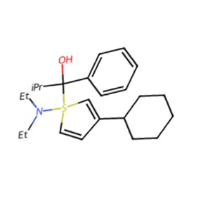 CCN(CC)S1(C(O)(c2ccccc2)C(C)C)C=CC(C2CCCCC2)=C1